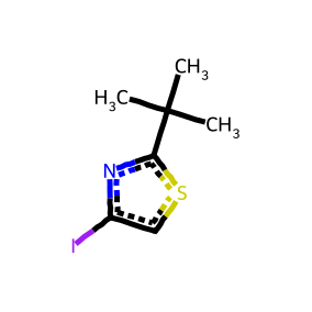 CC(C)(C)c1nc(I)cs1